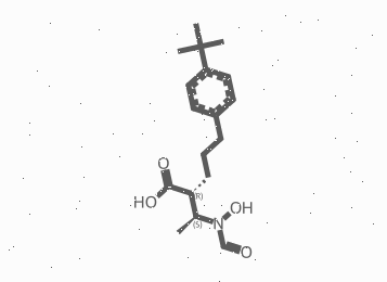 C[C@@H]([C@@H](CCCc1ccc(C(C)(C)C)cc1)C(=O)O)N(O)C=O